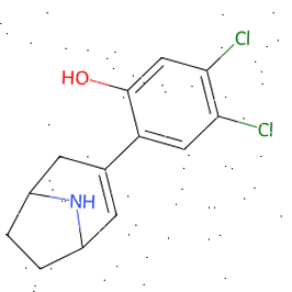 Oc1cc(Cl)c(Cl)cc1C1=CC2CCC(C1)N2